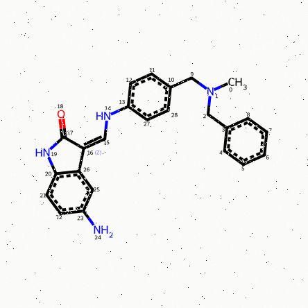 CN(Cc1ccccc1)Cc1ccc(N/C=C2\C(=O)Nc3ccc(N)cc32)cc1